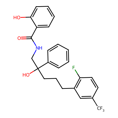 O=C(NCC(O)(CCCc1cc(C(F)(F)F)ccc1F)c1ccccc1)c1ccccc1O